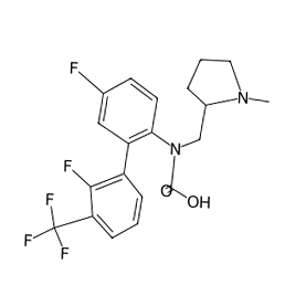 CN1CCCC1CN(C(=O)O)c1ccc(F)cc1-c1cccc(C(F)(F)F)c1F